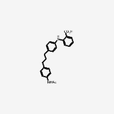 CC(=O)Nc1ccc(CCCc2ccc(Nc3ccccc3C(=O)O)cc2)cc1